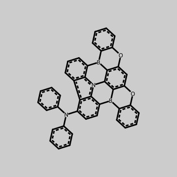 c1ccc(N(c2ccccc2)c2ccc3c4c2c2cccc5c2n4-c2c4c(cc6c2B3c2ccccc2O6)Oc2ccccc2B45)cc1